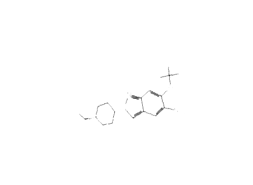 Nc1cc2cn([C@H]3CC[C@H](CO)CC3)nc2cc1OC(F)(F)F